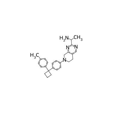 Cc1ccc(C2(c3ccc(N4CCc5cnc(C(C)N)nc5C4)cc3)CCC2)cc1